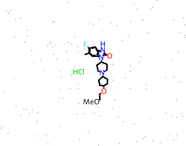 COCCOC1CCC(N2CCC(n3c(=O)[nH]c4cc(F)c(C)cc43)CC2)CC1.Cl